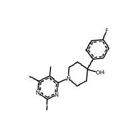 Cc1nc(C)c(C)c(N2CCC(O)(c3ccc(F)cc3)CC2)n1